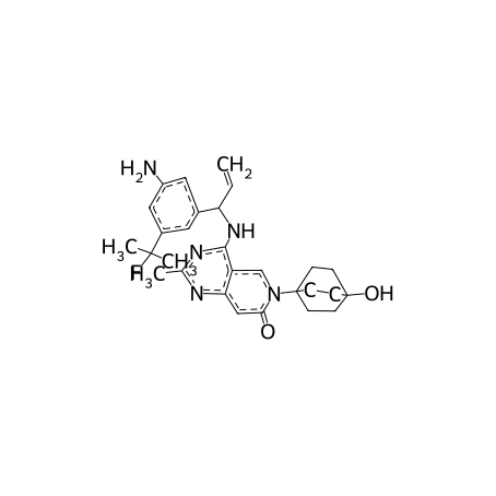 C=CC(Nc1nc(C)nc2cc(=O)n(C34CCC(O)(CC3)CC4)cc12)c1cc(N)cc(C(C)(C)F)c1